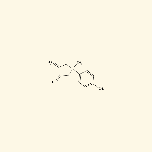 C=CC[Si](C)(CC=C)c1ccc(C)cc1